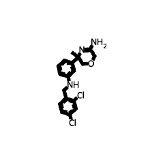 CC1(c2cccc(NCc3ccc(Cl)cc3Cl)c2)COCC(N)=N1